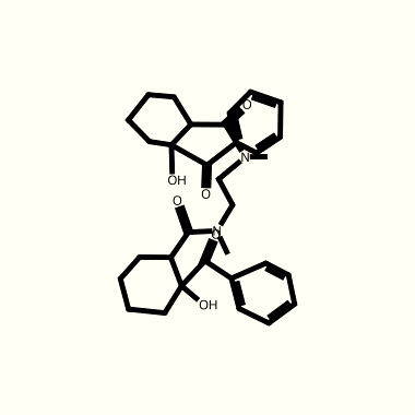 CN(CCN(C)C(=O)C1CCCCC1(O)C(=O)c1ccccc1)C(=O)C1CCCCC1(O)C(=O)c1ccccc1